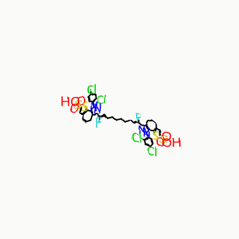 O=S(=O)(O)c1cc2c(s1)-c1c(c(/C(F)=C/CCCCCC/C=C(\F)c3nn(-c4ccc(Cl)cc4Cl)c4c3CCCc3cc(S(=O)(=O)O)sc3-4)nn1-c1ccc(Cl)cc1Cl)CCC2